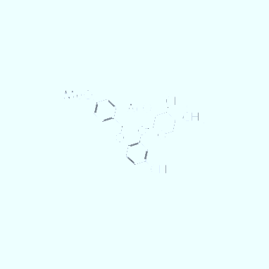 COc1ccc(COc2ccc(C)cc2O[C@@H]2OC[C@@H](C)[C@H](C)[C@H]2OC(C)=O)cc1